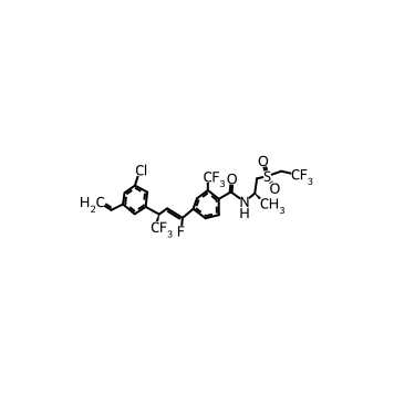 C=Cc1cc(Cl)cc([C@@H](/C=C(\F)c2ccc(C(=O)N[C@H](C)CS(=O)(=O)CC(F)(F)F)c(C(F)(F)F)c2)C(F)(F)F)c1